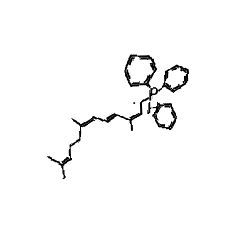 CC(C)=CCCC(C)=CC=CC(C)=C[CH][PH](c1ccccc1)(c1ccccc1)c1ccccc1